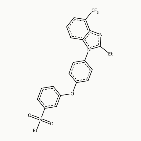 CCc1nc2c(C(F)(F)F)cccc2n1-c1ccc(Oc2cccc(S(=O)(=O)CC)c2)cc1